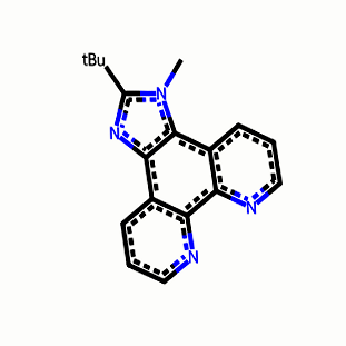 Cn1c(C(C)(C)C)nc2c3cccnc3c3ncccc3c21